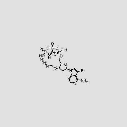 CCc1cn([C@H]2CC(OCN=[N+]=[N-])[C@@H](COP(=O)(O)OP(=O)(O)OP(=O)(O)O)O2)c2ncnc(N)c12